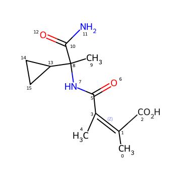 C/C(C(=O)O)=C(\C)C(=O)NC(C)(C(N)=O)C1CC1